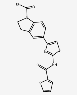 CCC(=O)N1CCc2cc(-c3csc(NC(=O)c4cccs4)n3)ccc21